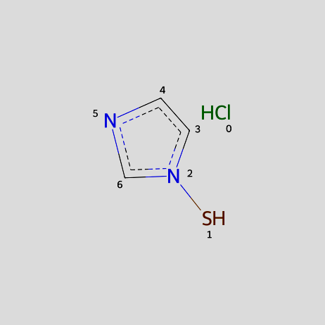 Cl.Sn1ccnc1